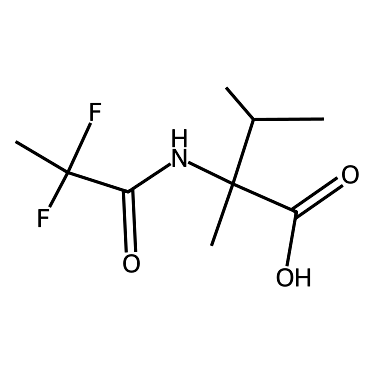 CC(C)C(C)(NC(=O)C(C)(F)F)C(=O)O